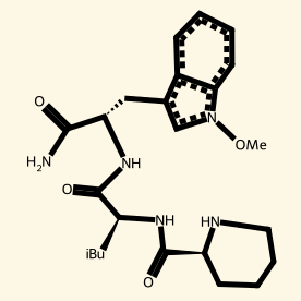 CCC(C)[C@H](NC(=O)[C@@H]1CCCCN1)C(=O)N[C@@H](Cc1cn(OC)c2ccccc12)C(N)=O